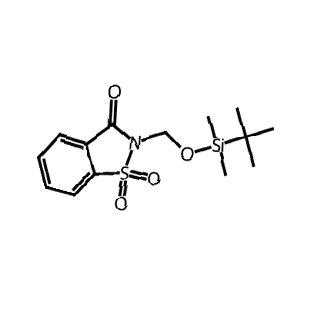 CC(C)(C)[Si](C)(C)OCN1C(=O)c2ccccc2S1(=O)=O